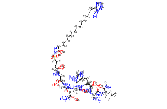 CCCC[C@H](NC(=O)[C@H](CN)NC(=O)[C@H](Cc1c[nH]cn1)NC(=O)[C@H](CCC(N)=O)NC(=O)[C@H](CO)NC(=O)CNC(=O)CCCS(=O)(=O)NC(=O)CCCCCCCCCCCCCCCc1nnn[nH]1)C(=O)NC